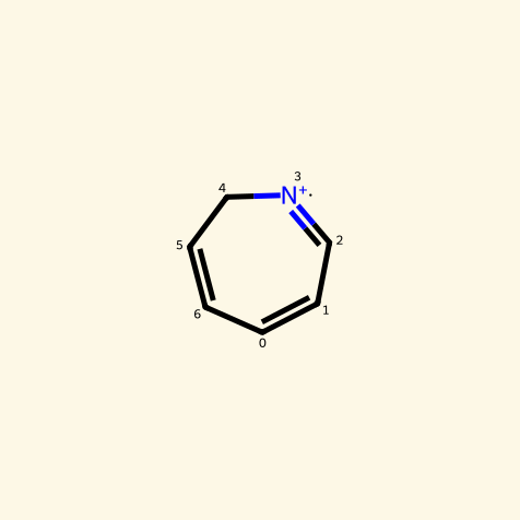 C1=CC=[N+]CC=C1